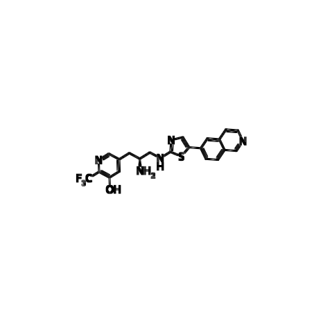 N[C@H](CNc1ncc(-c2ccc3cnccc3c2)s1)Cc1cnc(C(F)(F)F)c(O)c1